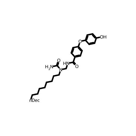 CCCCCCCCCCCCCCCCCCN(CNC(=O)c1ccc(Oc2ccc(O)cc2)cc1)C(N)=O